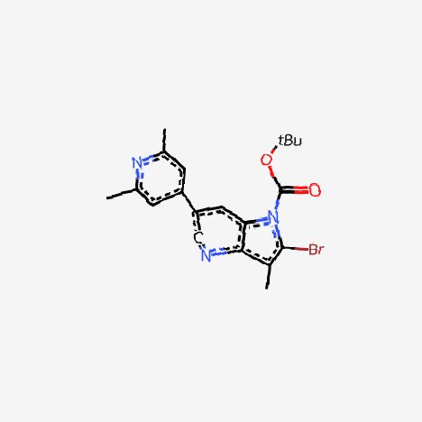 Cc1cc(-c2cnc3c(C)c(Br)n(C(=O)OC(C)(C)C)c3c2)cc(C)n1